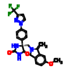 C=C1c2cc(OC)ccc2CN1C[C@@]1(c2ccc(-n3ccc(C(F)(F)F)n3)cc2)NC(=O)NC1=O